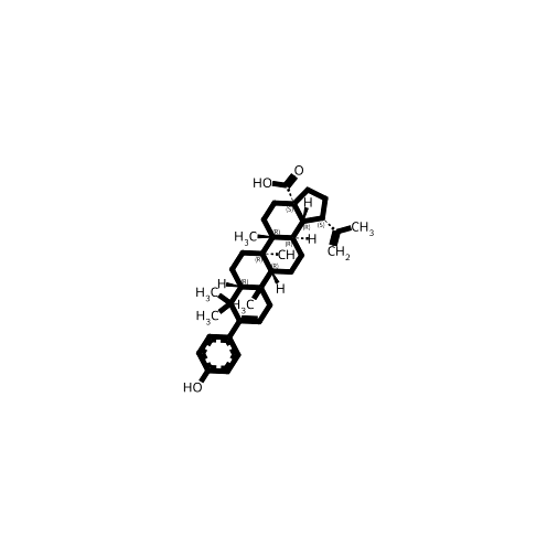 C=C(C)[C@H]1CC[C@]2(C(=O)O)CC[C@]3(C)[C@H](CC[C@@H]4C5(C)CC=C(c6ccc(O)cc6)C(C)(C)[C@@H]5CC[C@]43C)[C@@H]12